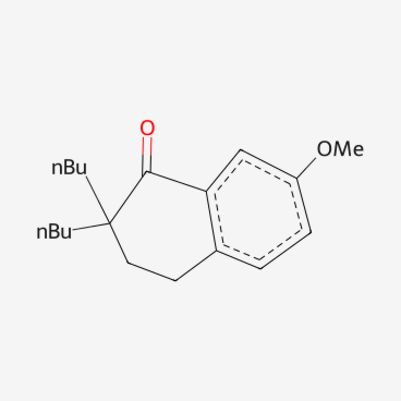 CCCCC1(CCCC)CCc2ccc(OC)cc2C1=O